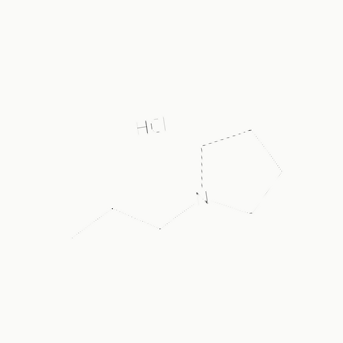 CCCN1CCCC1.Cl